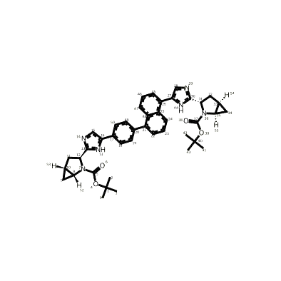 CC(C)(C)OC(=O)N1[C@@H]2C[C@@H]2C[C@H]1c1ncc(-c2ccc(-c3cccc4c(-c5cnc([C@@H]6C[C@H]7C[C@H]7N6C(=O)OC(C)(C)C)[nH]5)cccc34)cc2)[nH]1